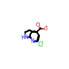 COC(=O)c1cc(Cl)nc2[nH]ccc12